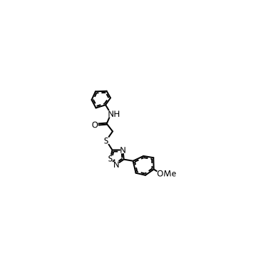 COc1ccc(-c2nsc(SCC(=O)Nc3ccccc3)n2)cc1